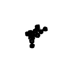 c1ccc(-c2ccc(-c3nc(-c4ccccc4)nc(-n4c5ccccc5c5c4c(-c4ccccc4)cc4c6ccccc6n(-c6cccc(-c7ccccc7)c6)c45)n3)cc2)cc1